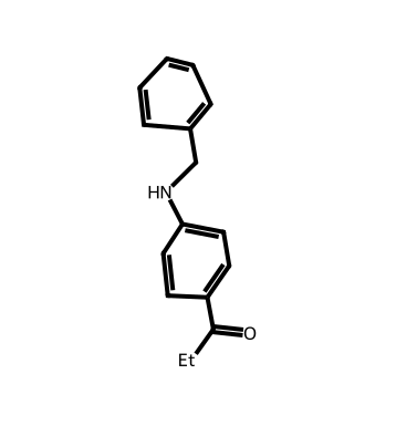 CCC(=O)c1ccc(NCc2ccccc2)cc1